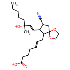 CCCCCC(C)(O)C=CC1C(CC=CCCCC(=O)O)C2(C[C@@H]1C#N)OCCO2